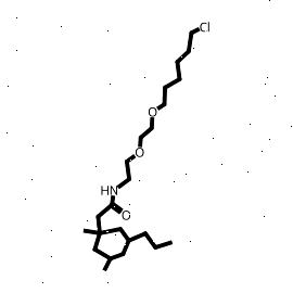 CCCC1CC(C)CC(C)(CC(=O)NCCOCCOCCCCCCCl)C1